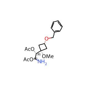 CO[C@]1([C@@H](OC(C)=O)[C@H](N)OC(C)=O)C[C@H](OCc2ccccc2)C1